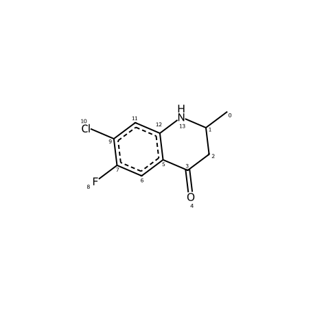 CC1CC(=O)c2cc(F)c(Cl)cc2N1